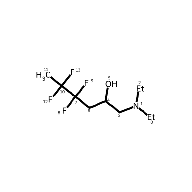 CCN(CC)CC(O)CC(F)(F)C(C)(F)F